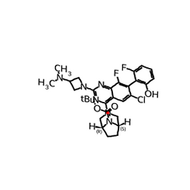 CN(C)C1CN(c2nc(N3C[C@H]4CC[C@@H](C3)N4C(=O)OC(C)(C)C)c3cc(Cl)c(-c4c(O)cccc4F)c(F)c3n2)C1